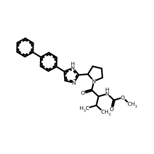 COC(=O)NC(C(=O)N1CCCC1c1ncc(-c2ccc(-c3ccccc3)cc2)[nH]1)C(C)C